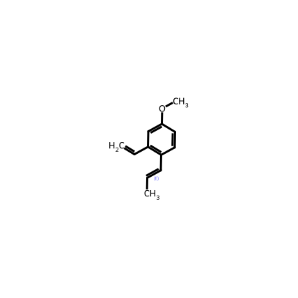 C=Cc1cc(OC)ccc1/C=C/C